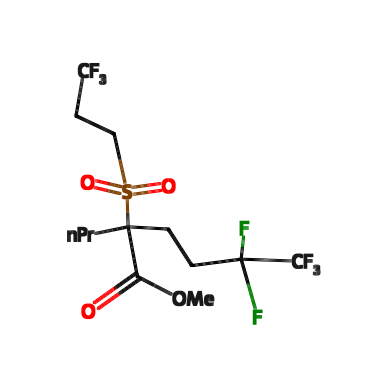 CCCC(CCC(F)(F)C(F)(F)F)(C(=O)OC)S(=O)(=O)CCC(F)(F)F